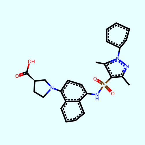 Cc1nn(-c2ccccc2)c(C)c1S(=O)(=O)Nc1ccc(N2CC[C@@H](C(=O)O)C2)c2ccccc12